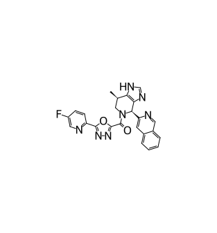 C[C@@H]1CN(C(=O)c2nnc(-c3ccc(F)cn3)o2)[C@H](c2cc3ccccc3cn2)c2nc[nH]c21